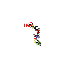 Cc1oc(-c2cc(C(F)(F)F)cs2)nc1CCOc1cccc(CSCC(=O)O)c1